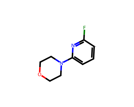 Fc1[c]ccc(N2CCOCC2)n1